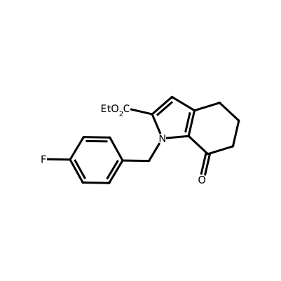 CCOC(=O)c1cc2c(n1Cc1ccc(F)cc1)C(=O)CCC2